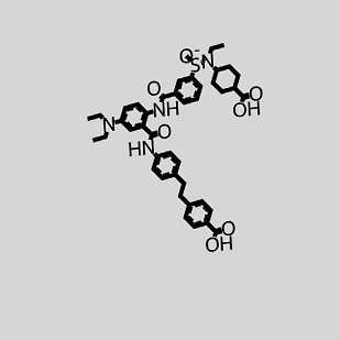 CCN(CC)c1ccc(NC(=O)c2cccc([S+]([O-])N(CC)C3CCC(C(=O)O)CC3)c2)c(C(=O)Nc2ccc(CCc3ccc(C(=O)O)cc3)cc2)c1